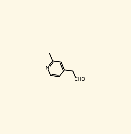 Cc1cc(CC=O)ccn1